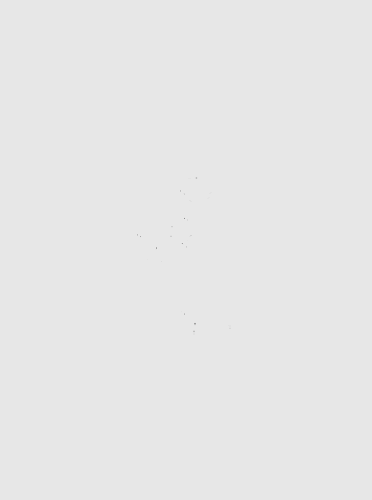 CC(C)(C)OC(=O)NCCCC1CC1(C#N)c1cn(-c2ccc(Cl)cn2)cn1